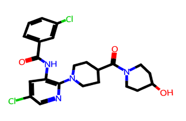 O=C(Nc1cc(Cl)cnc1N1CCC(C(=O)N2CCC(O)CC2)CC1)c1cccc(Cl)c1